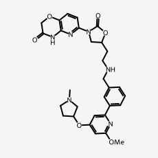 COc1cc(OC2CCN(C)C2)cc(-c2cccc(CNCCC3CN(c4ccc5c(n4)NC(=O)CO5)C(=O)O3)c2)n1